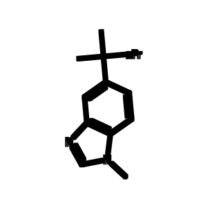 CCCC(C)(C)c1ccc2c(c1)ncn2C